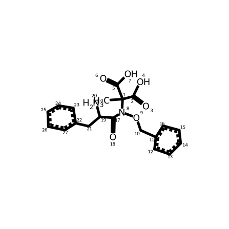 CC(C(=O)O)(C(=O)O)N(OCc1ccccc1)C(=O)C(N)Cc1ccccc1